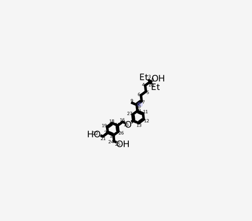 CCC(O)(CC)CCC/C=C(\C)c1cccc(OCc2ccc(CO)c(CO)c2)c1